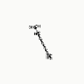 CCNC(=O)CNC(=O)COCCOCCOCCOCCOCCOCCOCCOCCNC(=O)CCCCCN(C=O)CO